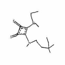 CCN(C)c1c(N(C)CCC(C)(C)C)c(=S)c1=S